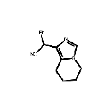 CCC(C#N)c1ncn2c1CCCC2